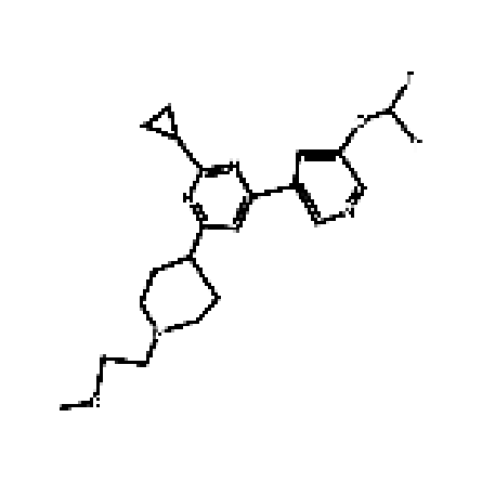 COCCN1CCC(c2cc(-c3cncc(OC(F)F)c3)nc(C3CC3)n2)CC1